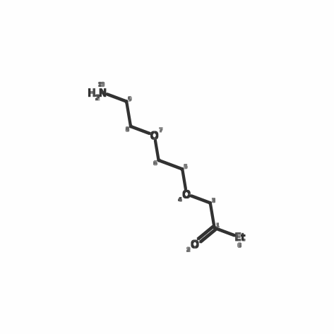 CCC(=O)COCCOCCN